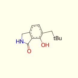 CC(C)(C)Cc1ccc2c(c1O)C(=O)NC2